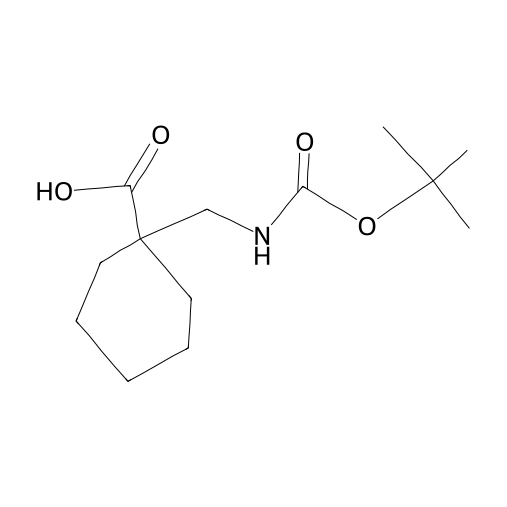 CC(C)(C)OC(=O)NCC1(C(=O)O)CCCCC1